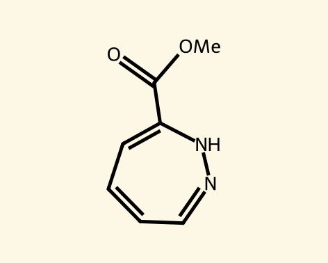 COC(=O)C1=CC=CC=NN1